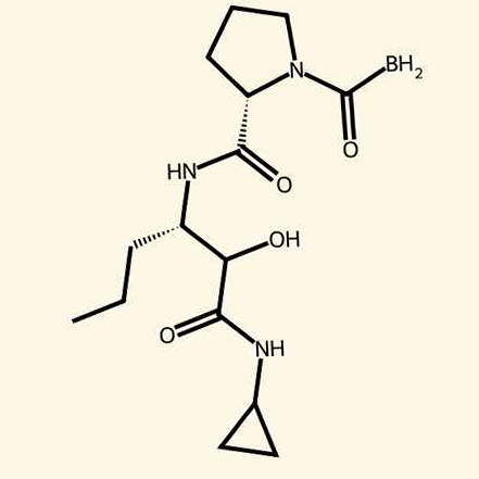 BC(=O)N1CCC[C@H]1C(=O)N[C@@H](CCC)C(O)C(=O)NC1CC1